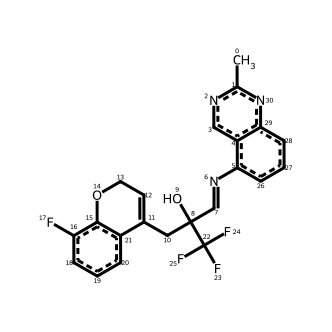 Cc1ncc2c(/N=C/C(O)(CC3=CCOc4c(F)cccc43)C(F)(F)F)cccc2n1